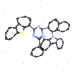 c1ccc(-c2nc(-c3ccc4ccccc4c3-n3c4ccccc4c4ccccc43)nc(-c3cccc4c3sc3ccccc34)n2)cc1